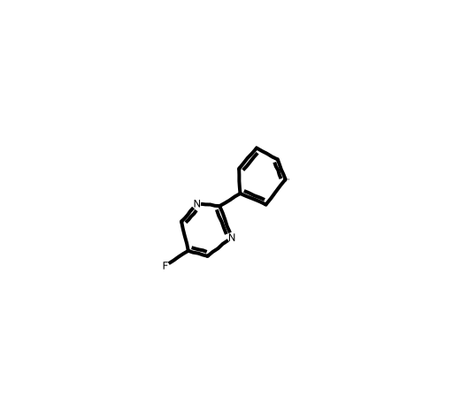 Fc1cnc(-c2c[c]ccc2)nc1